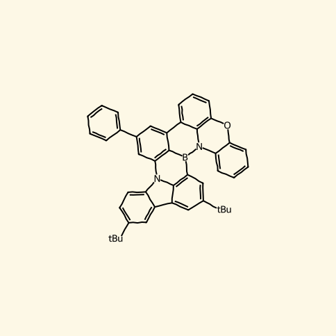 CC(C)(C)c1ccc2c(c1)c1cc(C(C)(C)C)cc3c1n2-c1cc(-c2ccccc2)cc2c1B3N1c3ccccc3Oc3cccc-2c31